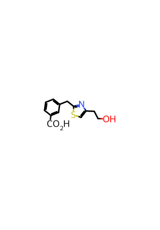 O=C(O)c1cccc(Cc2nc(CCO)cs2)c1